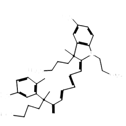 C=C(/C=C/C=C/C=C1/N(CCOC)c2ccc(S(=O)(=O)O)cc2C1(C)CCCS(=O)(=O)O)C(C)(CCCS(=O)(=O)O)c1cc(S(=O)(=O)O)ccc1C